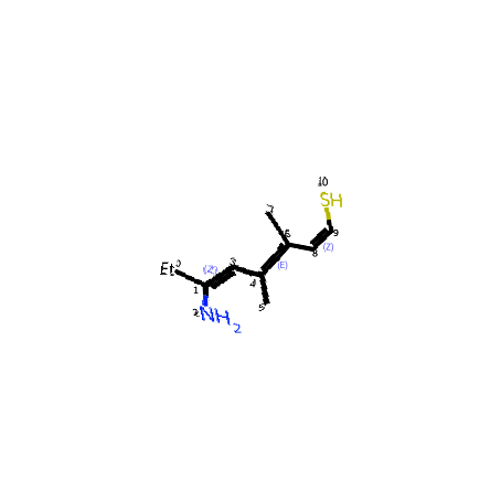 CC/C(N)=C/C(C)=C(C)/C=C\S